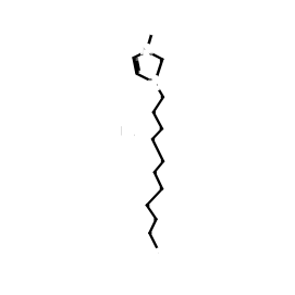 CN1C=CN(CCCCCCCCCCS)C1.[Dy]